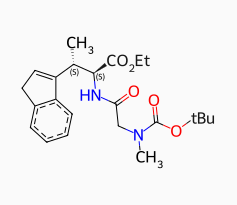 CCOC(=O)[C@@H](NC(=O)CN(C)C(=O)OC(C)(C)C)[C@@H](C)C1=CCc2ccccc21